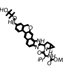 COC(=O)N[C@H](C(=O)N1C(c2nc3ccc4cc5c(cc4c3[nH]2)OCc2cc(BOC(C)(C)C(C)(C)O)ccc2-5)CC2C[C@H]21)C(C)C